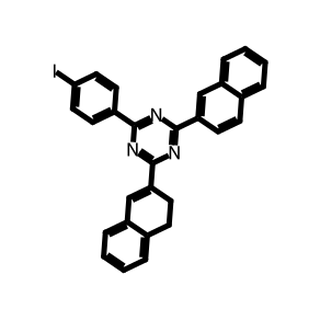 Ic1ccc(-c2nc(C3=Cc4ccccc4CC3)nc(-c3ccc4ccccc4c3)n2)cc1